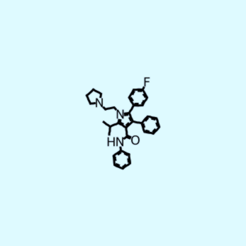 CC(C)c1c(C(=O)Nc2ccccc2)c(-c2ccccc2)c(-c2ccc(F)cc2)n1CCN1CCCC1